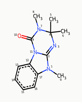 CN1C2=NC(C)(C)N(C)C(=O)N2c2ccccc21